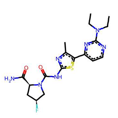 CCN(CC)c1nccc(-c2sc(NC(=O)N3C[C@@H](F)C[C@H]3C(N)=O)nc2C)n1